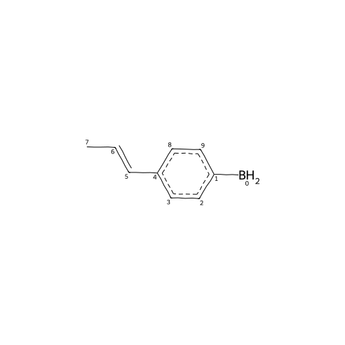 Bc1ccc(/C=C/C)cc1